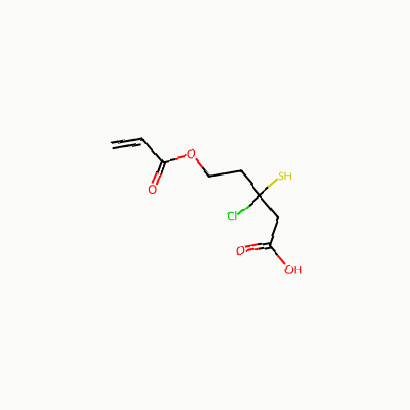 C=CC(=O)OCCC(S)(Cl)CC(=O)O